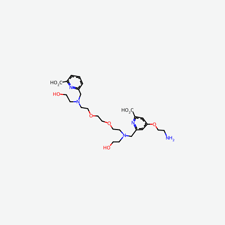 NCCOc1cc(CN(CCO)CCOCCOCCN(CCO)Cc2cccc(C(=O)O)n2)nc(C(=O)O)c1